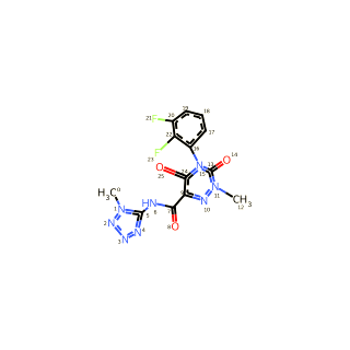 Cn1nnnc1NC(=O)c1nn(C)c(=O)n(-c2cccc(F)c2F)c1=O